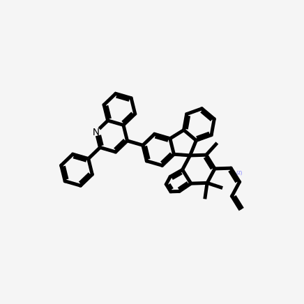 C=C/C=C\C1=C(C)C2(c3ccccc3-c3cc(-c4cc(-c5ccccc5)nc5ccccc45)ccc32)c2ccccc2C1(C)C